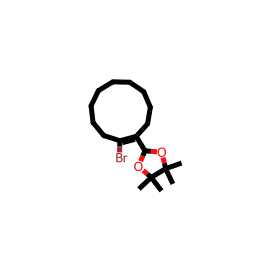 CC1(C)OC(/C2=C(\Br)CCCCCCCCC2)OC1(C)C